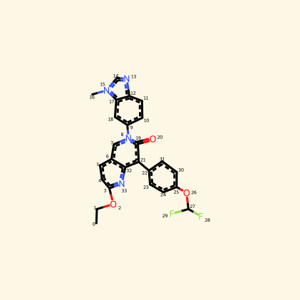 CCOc1ccc2cn(-c3ccc4ncn(C)c4c3)c(=O)c(-c3ccc(OC(F)F)cc3)c2n1